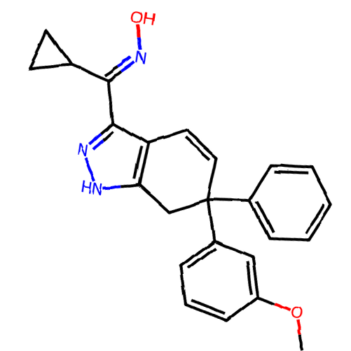 COc1cccc(C2(c3ccccc3)C=Cc3c(C(=NO)C4CC4)n[nH]c3C2)c1